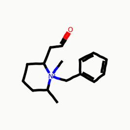 CC1CCCC(CC=O)[N+]1(C)Cc1ccccc1